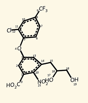 O=C(O)c1cc(Oc2ccc(C(F)(F)F)cc2Cl)cc(CC(O)CO)c1[N+](=O)[O-]